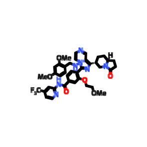 COCCOc1cc(C(=O)Nc2cc(C(F)(F)F)ccn2)ccc1C1=NC([C@@H]2CC[C@H]3CCC(=O)N3C2)=C2C=NC=C[N+]12NCc1ccc(OC)cc1OC